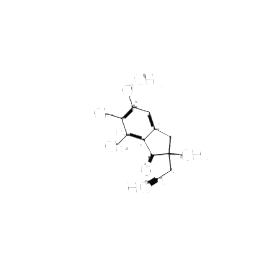 C#CCC1(C)Cc2cc(OC)c(Cl)c(Cl)c2C1=O